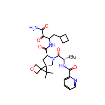 CC(C)(C)[C@H](NC(=O)c1ccccn1)C(=O)N1C[C@]2(C[C@H]1C(=O)NC(CC1CCC1)C(=O)C(N)=O)C(C)(C)C21COC1